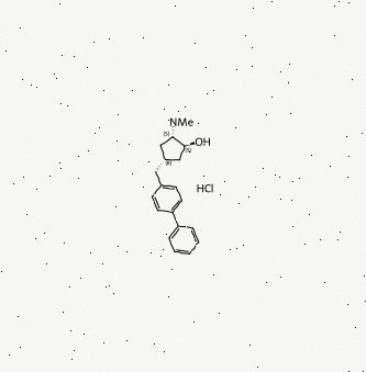 CN[C@H]1C[C@@H](Cc2ccc(-c3ccccc3)cc2)C[C@@H]1O.Cl